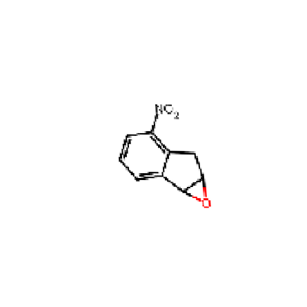 O=[N+]([O-])c1cccc2c1CC1OC21